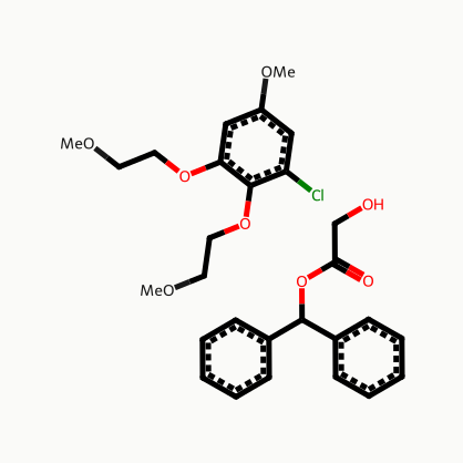 COCCOc1cc(OC)cc(Cl)c1OCCOC.O=C(CO)OC(c1ccccc1)c1ccccc1